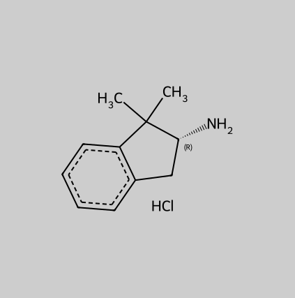 CC1(C)c2ccccc2C[C@H]1N.Cl